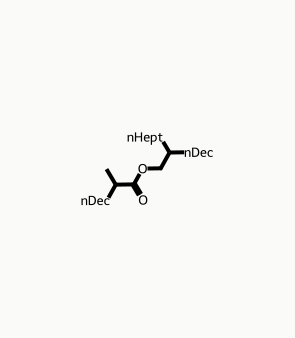 CCCCCCCCCCC(CCCCCCC)COC(=O)C(C)CCCCCCCCCC